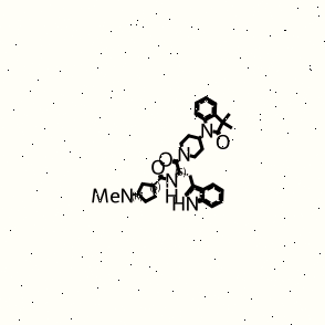 CN[C@@H]1CC[C@H](C(=O)N[C@@H](Cc2c[nH]c3ccccc23)C(=O)N2CCC(N3C(=O)C(C)(C)c4ccccc43)CC2)C1